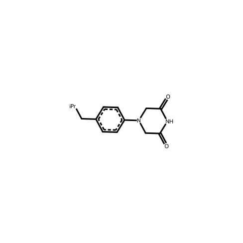 CC(C)Cc1ccc(N2CC(=O)NC(=O)C2)cc1